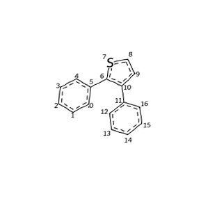 [c]1ccccc1-c1sccc1-c1ccccc1